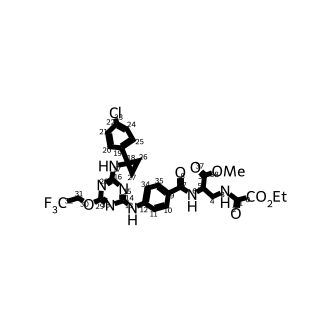 CCOC(=O)C(=O)NCC(NC(=O)c1ccc(Nc2nc(NC3(c4ccc(Cl)cc4)CC3)nc(OCC(F)(F)F)n2)cc1)C(=O)OC